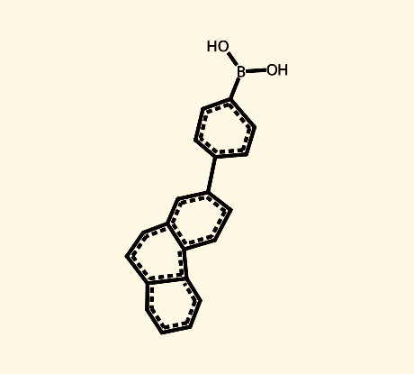 OB(O)c1ccc(-c2ccc3c(ccc4ccccc43)c2)cc1